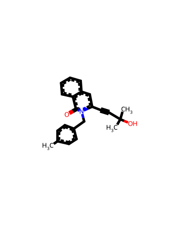 Cc1ccc(Cn2c(C#CC(C)(C)O)cc3ccccc3c2=O)cc1